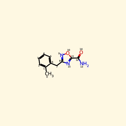 Cc1ccccc1Cc1noc(C(N)=O)n1